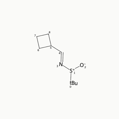 CC(C)(C)[S+]([O-])/N=C/C1CCC1